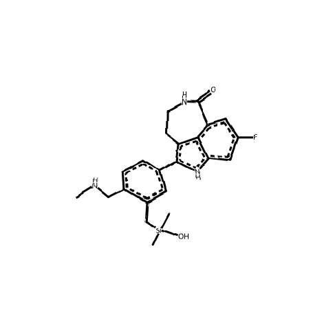 CNCc1ccc(-c2[nH]c3cc(F)cc4c3c2CCNC4=O)cc1C[Si](C)(C)O